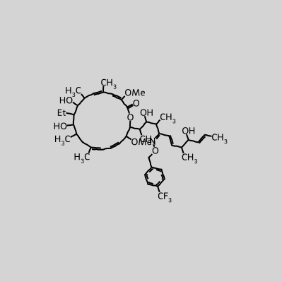 CC=CC(O)C(C)C=CC(=NOCc1ccc(C(F)(F)F)cc1)C(C)C(O)C(C)C1OC(=O)C(OC)=CC(C)=CC(C)C(O)C(CC)C(O)C(C)CC(C)=CC=CC1OC